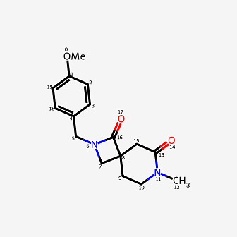 COc1ccc(CN2CC3(CCN(C)C(=O)C3)C2=O)cc1